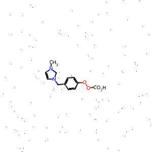 CN1C=CN(Cc2ccc(OOC(=O)O)cc2)C1